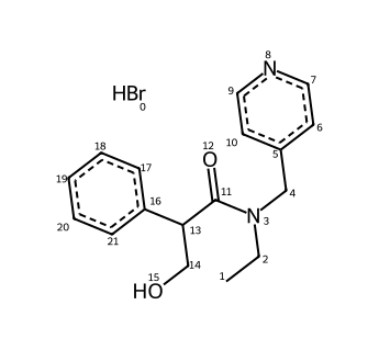 Br.CCN(Cc1ccncc1)C(=O)C(CO)c1ccccc1